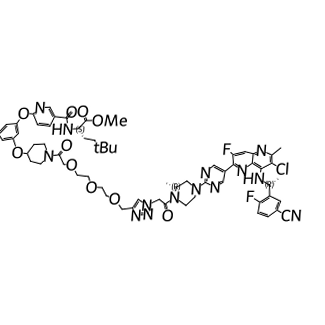 COC(=O)[C@H](CCC(C)(C)C)NC(=O)c1ccc(Oc2cccc(OC3CCN(C(=O)COCCOCCOCc4cn(CC(=O)N5CCN(c6ncc(-c7nc8c(N[C@H](C)c9cc(C#N)ccc9F)c(Cl)c(C)nc8cc7F)cn6)C[C@H]5C)nn4)CC3)c2)nc1